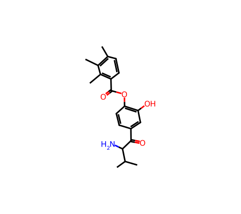 Cc1ccc(C(=O)Oc2ccc(C(=O)C(N)C(C)C)cc2O)c(C)c1C